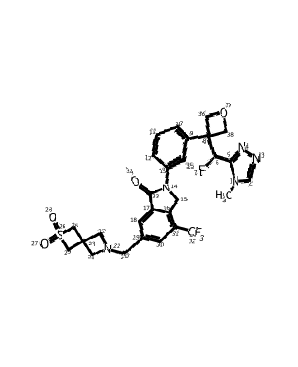 Cn1cnnc1[C@@H](F)C1(c2cccc(N3Cc4c(cc(CN5CC6(C5)CS(=O)(=O)C6)cc4C(F)(F)F)C3=O)c2)COC1